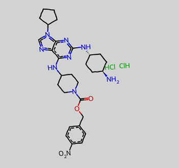 Cl.Cl.N[C@H]1CC[C@H](Nc2nc(NC3CCN(C(=O)OCc4ccc([N+](=O)[O-])cc4)CC3)c3ncn(C4CCCC4)c3n2)CC1